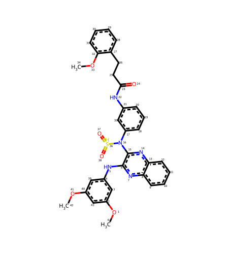 COc1cc(Nc2nc3ccccc3nc2N(c2cccc(NC(=O)CCc3ccccc3OC)c2)[SH](=O)=O)cc(OC)c1